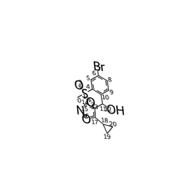 CS(=O)(=O)c1cc(Br)ccc1C(O)c1cnoc1C1CC1